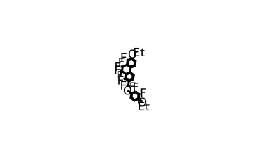 CCOc1ccc(OC(F)(F)c2ccc3c(c2F)C(F)(F)C(F)(F)c2c-3ccc(OCC)c2F)c(F)c1F